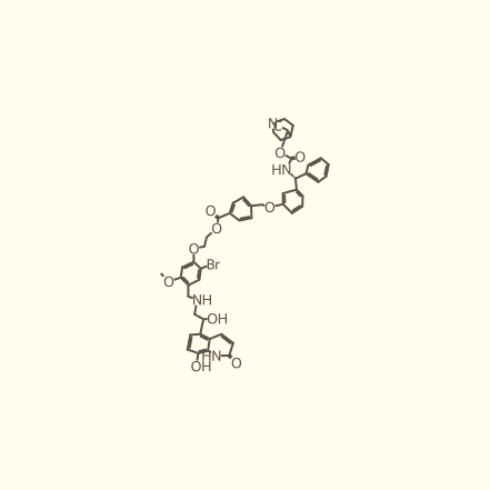 COc1cc(OCCOC(=O)c2ccc(COc3cccc([C@@H](NC(=O)OC4CN5CCC4CC5)c4ccccc4)c3)cc2)c(Br)cc1CNCC(O)c1ccc(O)c2[nH]c(=O)ccc12